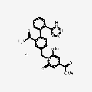 CCCCc1cc(C(=O)OC)cc(=O)n1Cc1ccc(-c2ccccc2-c2nnn[nH]2)c(C(N)=O)c1.[K]